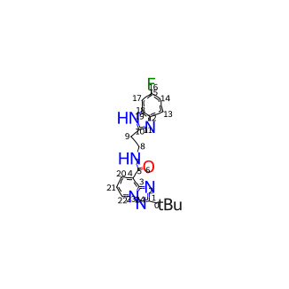 CC(C)(C)c1nc2c(C(=O)NCCc3nc4ccc(F)cc4[nH]3)cccn2n1